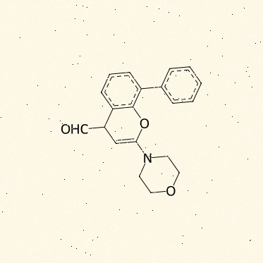 O=CC1C=C(N2CCOCC2)Oc2c(-c3ccccc3)cccc21